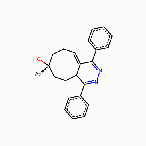 CC(=O)[C@@]1(O)CC/C=C2/C(c3ccccc3)=NN=C(c3ccccc3)C2CC1